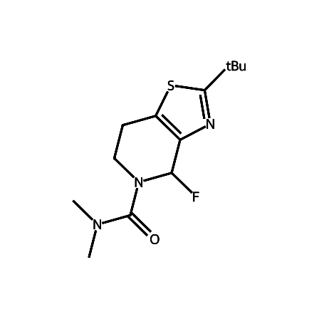 CN(C)C(=O)N1CCc2sc(C(C)(C)C)nc2C1F